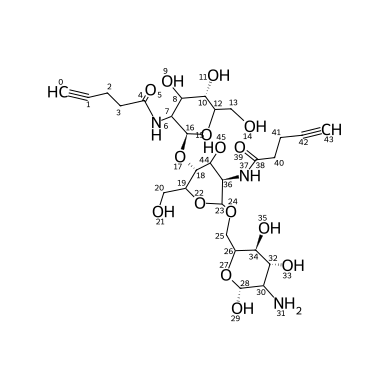 C#CCCC(=O)NC1C(O)[C@H](O)C(CO)O[C@H]1O[C@H]1C(CO)OC(OCC2O[C@@H](O)C(N)[C@@H](O)[C@@H]2O)[C@H](NC(=O)CCC#C)C1O